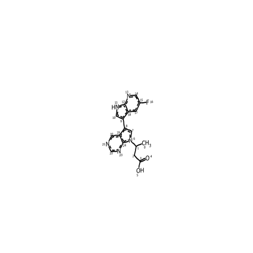 CC(CC(=O)O)n1cc(-c2c[nH]c3ncc(F)cc23)c2cncnc21